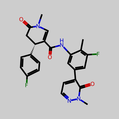 Cc1c(F)cc(-c2ccnn(C)c2=O)cc1NC(=O)C1=CN(C)C(=O)C[C@H]1c1ccc(F)cc1